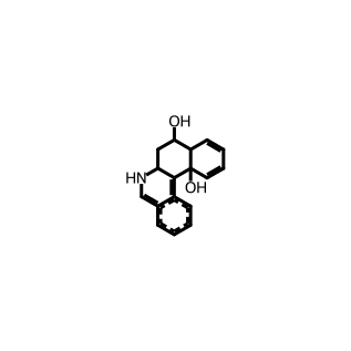 OC1CC2NC=c3ccccc3=C2C2(O)C=CC=CC12